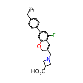 CC(C)Cc1ccc(-c2cc(F)c3c(c2)OCC(CN2CC(C(=O)O)C2)=C3)cc1